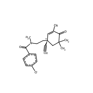 C#C[C@@]1(CCN(C)C(=O)c2ccc(Cl)cc2)C=C(C#N)C(=O)C(C)(C)C1